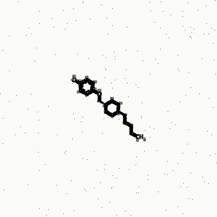 CCCCC[C@H]1CC[C@H](COc2ccc([O])cc2)CC1